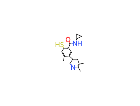 Cc1cc(S)c(C(=O)NC2CC2)cc1-c1cnc(C)c(C)c1